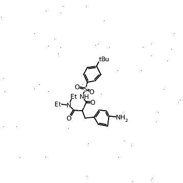 CCN(CC)C(=O)C(Cc1ccc(N)cc1)C(=O)NS(=O)(=O)c1ccc(C(C)(C)C)cc1